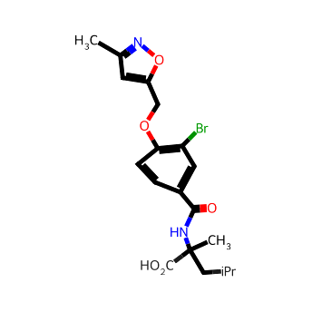 Cc1cc(COc2ccc(C(=O)NC(C)(CC(C)C)C(=O)O)cc2Br)on1